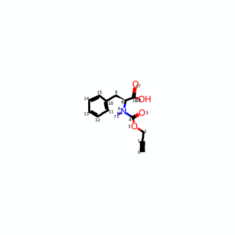 C#CCOC(=O)N(I)[C@@H](Cc1ccccc1)C(=O)O